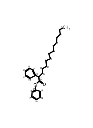 CCCCCCCCCCCCCC(C(=O)Oc1ccccc1)c1ccccc1